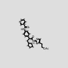 CC(=O)OCCc1csc(NC(=O)C(CC2CCCC2)c2ccc(NC(=O)c3cccnc3)cc2)n1